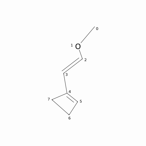 CO/C=C/C1=CCC1